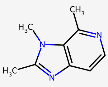 Cc1nccc2nc(C)n(C)c12